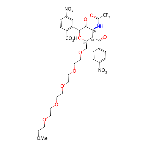 COCCOCCOCCOCCOCCOC[C@H]1OC(c2cc([N+](=O)[O-])ccc2C(=O)O)C(=O)[C@@H](NC(=O)C(F)(F)F)[C@@H]1C(=O)c1ccc([N+](=O)[O-])cc1